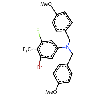 COc1ccc(CN(Cc2ccc(OC)cc2)c2cc(F)c(C(F)(F)F)c(Br)c2)cc1